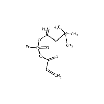 C=CC(=O)OP(=O)(CC)OC(=C)C[N+](C)(C)C